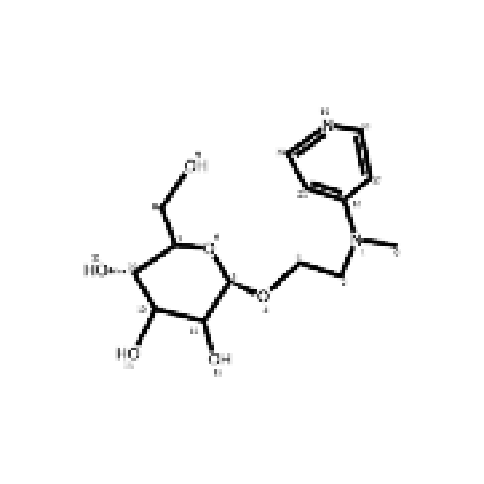 CN(CCO[C@@H]1OC(CO)[C@@H](O)C(O)C1O)c1ccncc1